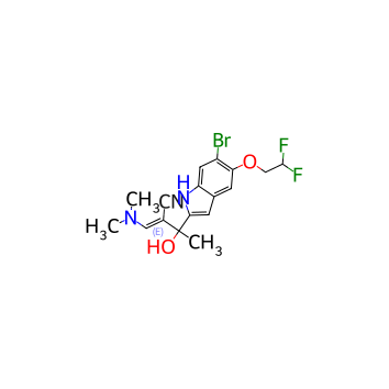 CN(C)/C=C(\C#N)C(C)(O)c1cc2cc(OCC(F)F)c(Br)cc2[nH]1